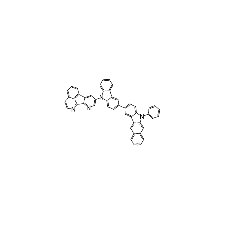 c1ccc(-n2c3ccc(-c4ccc5c(c4)c4ccccc4n5-c4cnc5c(c4)-c4cccc6ccnc-5c46)cc3c3cc4ccccc4cc32)cc1